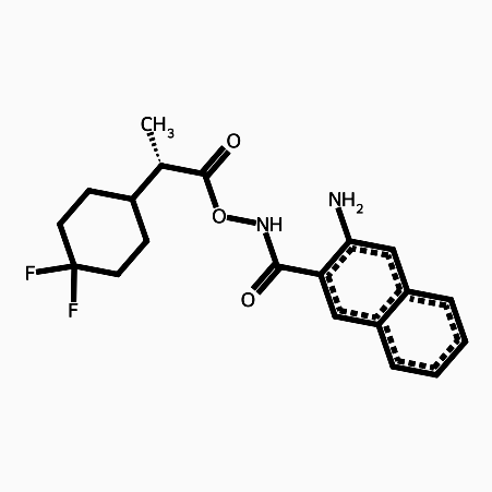 C[C@H](C(=O)ONC(=O)c1cc2ccccc2cc1N)C1CCC(F)(F)CC1